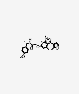 COc1ccc([C@H](C)NC(=O)COc2cc(C)c3c(-c4ccoc4C)nn(C)c3n2)cc1